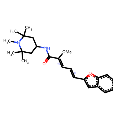 CO/C(=C\C=C\c1cc2ccccc2o1)C(=O)NC1CC(C)(C)N(C)C(C)(C)C1